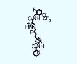 CN1NN(CC(F)CCc2nnc(NC(=O)c3ccccn3)s2)C=C1C(=O)NCc1cc(OC(F)(F)F)ccc1F